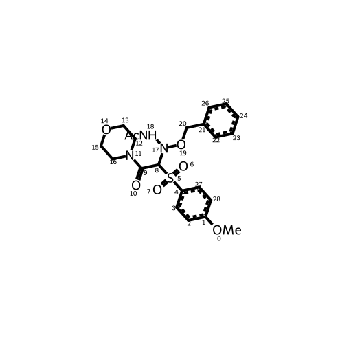 COc1ccc(S(=O)(=O)C(C(=O)N2CCOCC2)N(NC(C)=O)OCc2ccccc2)cc1